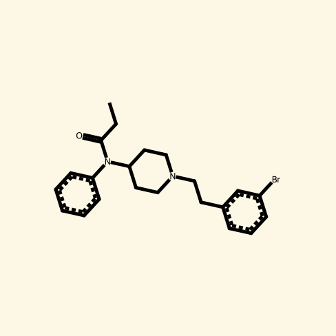 CCC(=O)N(c1ccccc1)C1CCN(CCc2cccc(Br)c2)CC1